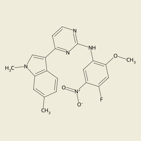 COc1cc(F)c([N+](=O)[O-])cc1Nc1nccc(-c2cn(C)c3cc(C)ccc23)n1